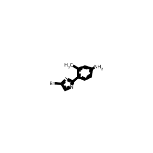 Cc1cc(N)ccc1-c1ncc(Br)s1